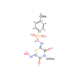 CCCCCCN1C(=O)/C(=N/O)S/C(=N\OS(=O)(=O)c2ccc(OC)cc2)C1=O